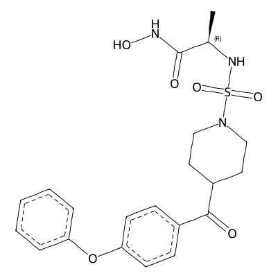 C[C@@H](NS(=O)(=O)N1CCC(C(=O)c2ccc(Oc3ccccc3)cc2)CC1)C(=O)NO